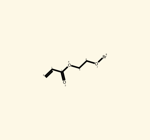 C=CC(=O)OCCOBr